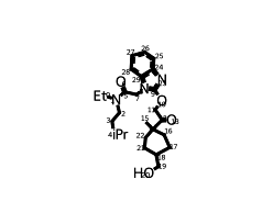 CCN(CCC(C)C)C(=O)Cn1c(OCC(=O)C2(C)CCC(CO)CC2)nc2ccccc21